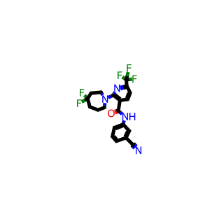 N#Cc1cccc(NC(=O)c2ccc(C(F)(F)F)nc2N2CCCC(F)(F)CC2)c1